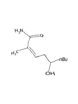 CCCCC(O)CC=C(C)C(N)=O